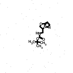 CC(C)(C)OC(=O)NCC1COc2ccnn21